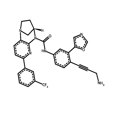 NCC#Cc1ccc(NC(=O)N2c3nc(-c4cccc(C(F)(F)F)c4)ccc3N3CC[C@H]2C3)cc1-c1cnco1